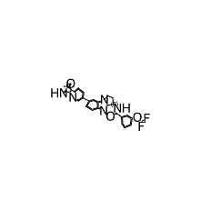 CS(=N)(=O)c1ccc(-c2ccc3nc4n(c3c2)CC[C@H]4NC(=O)c2cccc(OC(F)F)c2)cn1